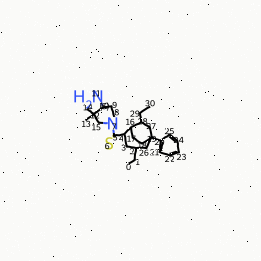 CCC1CC(C(=S)N2CC[C@H](N)C(C)(C)C2)C2CCC(c3ccccc3)(C1)CC2CC